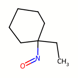 CCC1(N=O)CCCCC1